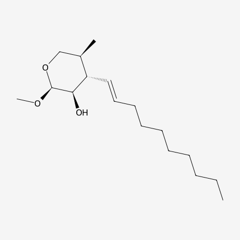 CCCCCCCC/C=C/[C@@H]1[C@@H](O)[C@@H](OC)OC[C@H]1C